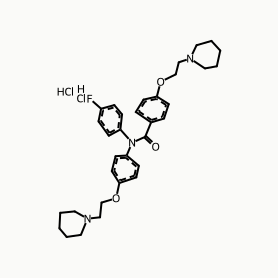 Cl.Cl.O=C(c1ccc(OCCN2CCCCC2)cc1)N(c1ccc(F)cc1)c1ccc(OCCN2CCCCC2)cc1